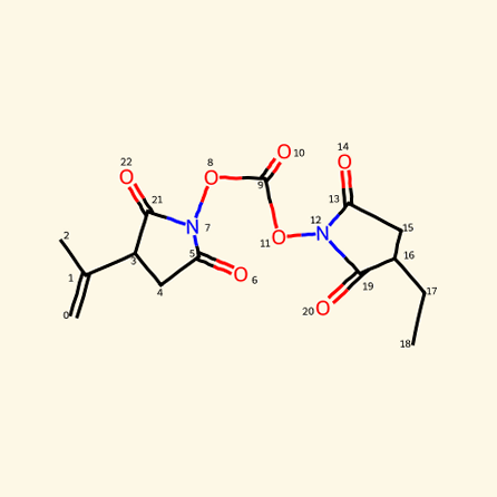 C=C(C)C1CC(=O)N(OC(=O)ON2C(=O)CC(CC)C2=O)C1=O